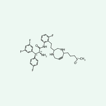 C[S+]([O-])CCCC1C#CCNC(CCc2c(F)cccc2NC(=O)[C@@H](N)[C@@H](c2ccc(F)cc2)c2cc(F)cc(F)c2)CN1